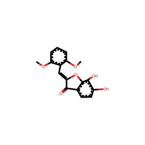 COc1cccc(OC)c1/C=C1\Oc2c(ccc(O)c2O)C1=O